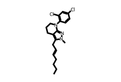 CCCCC=CCc1c2c(nn1C)N(c1ccc(Cl)cc1Cl)CCC2